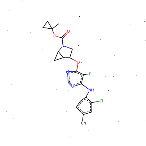 CC1(OC(=O)N2CC(Oc3ncnc(Nc4ccc(C#N)cc4Cl)c3F)C3CC32)CC1